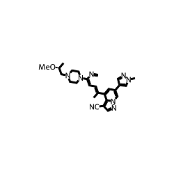 C=N/C(=C\C=C(/C)c1cc(-c2cnn(C)c2)cn2ncc(C#N)c12)N1CCN(C[C@H](C)OC)CC1